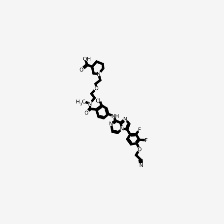 CN(CCOCCN1CCCC(C(=O)O)C1)C(=O)c1ccc(Nc2nccn3c(-c4ccc(OCC#N)c(F)c4F)cnc23)cc1Cl